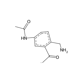 [CH2]C(=O)c1cc(NC(C)=O)ccc1CN